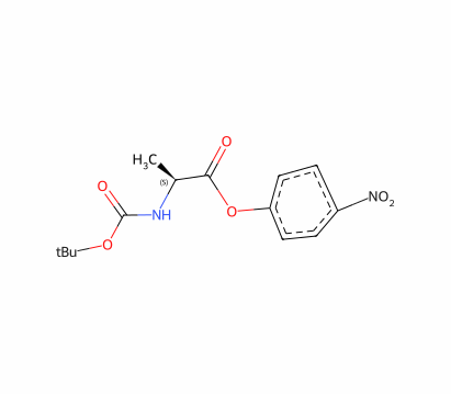 C[C@H](NC(=O)OC(C)(C)C)C(=O)Oc1ccc([N+](=O)[O-])cc1